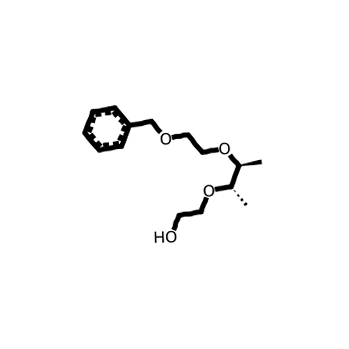 C[C@H](OCCO)[C@H](C)OCCOCc1ccccc1